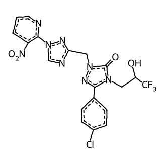 O=c1n(Cc2ncn(-c3ncccc3[N+](=O)[O-])n2)nc(-c2ccc(Cl)cc2)n1CC(O)C(F)(F)F